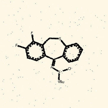 CC(C)(C)[S+]([O-])/N=C1\c2ccccc2SCc2c1ccc(F)c2F